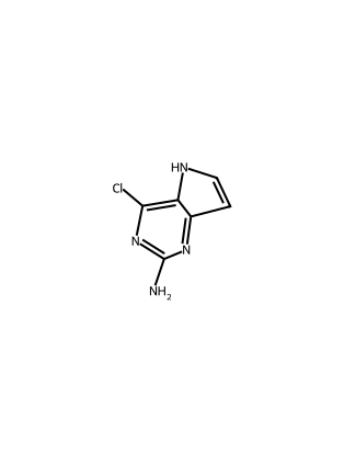 Nc1nc(Cl)c2[nH]ccc2n1